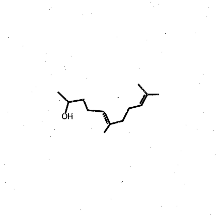 CC(C)=CCCC(C)=CCCC(C)O